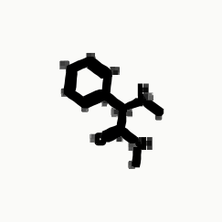 CNC(=O)[C@H](NC)c1ccccc1